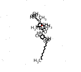 CCCCCCCCCCCCS(=O)(=O)Nc1ccc(Cl)c(NC(=O)C(=Nc2ccc(N(CC)CCNS(C)(=O)=O)cc2C)C(=O)C(C)(C)C)c1